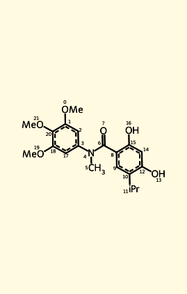 COc1cc(N(C)C(=O)c2cc(C(C)C)c(O)cc2O)cc(OC)c1OC